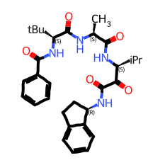 CC(C)[C@H](NC(=O)[C@H](C)NC(=O)[C@@H](NC(=O)c1ccccc1)C(C)(C)C)C(=O)C(=O)N[C@@H]1CCc2ccccc21